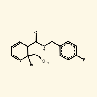 COC1(Br)N=CC=CC1C(=O)NCc1ccc(F)cc1